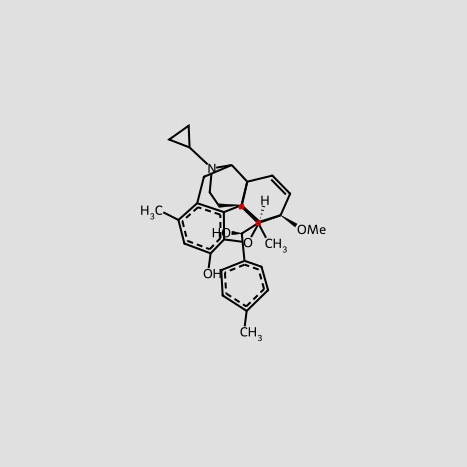 CO[C@]12C=CC3(CC1(C)[C@H](O)c1ccc(C)cc1)C1Cc4c(C)cc(O)c5c4[C@@]3(CCN1C1CC1)[C@@H]2O5